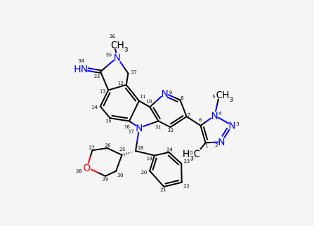 Cc1nnn(C)c1-c1cnc2c3c4c(ccc3n([C@H](c3ccccc3)C3CCOCC3)c2c1)C(=N)N(C)C4